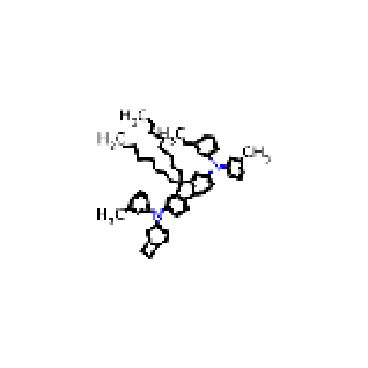 CCCCCCCCC1(CCCCCCCC)c2cc(N(C3=CCC4CCC4=C3)c3cccc(C)c3)ccc2-c2ccc(N(c3cccc(C)c3)c3cccc(CC)c3)cc21